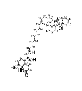 CC1(COC(=O)C(O)(c2ccccc2)C2CCCCC2)CCN(CCCCCCCCCNC[C@H](O)c2ccc(O)c3[nH]c(=O)ccc23)CC1